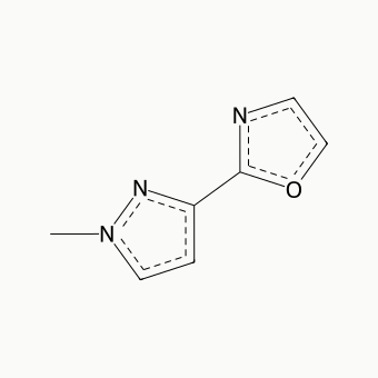 Cn1ccc(-c2ncco2)n1